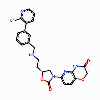 N#Cc1ncccc1-c1cccc(CNCC[C@H]2CN(c3ccc4c(n3)NC(=O)CO4)C(=O)O2)c1